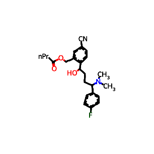 CCCC(=O)OCc1cc(C#N)ccc1C(O)CCC(c1ccc(F)cc1)N(C)C